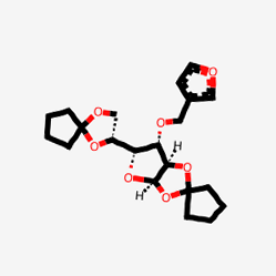 c1cc(CO[C@@H]2[C@H]3OC4(CCCC4)O[C@H]3O[C@@H]2[C@H]2COC3(CCCC3)O2)co1